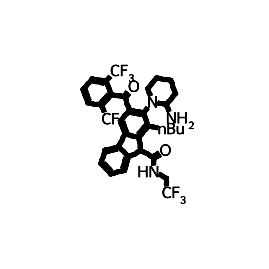 CCCCc1c2c(cc(C(=O)c3c(C(F)(F)F)cccc3C(F)(F)F)c1N1CCCCC1N)-c1ccccc1C2C(=O)NCC(F)(F)F